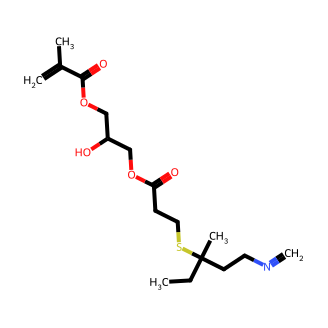 C=NCCC(C)(CC)SCCC(=O)OCC(O)COC(=O)C(=C)C